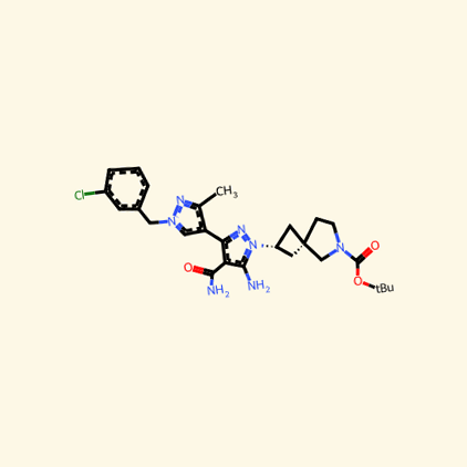 Cc1nn(Cc2cccc(Cl)c2)cc1-c1nn([C@H]2C[C@@]3(CCN(C(=O)OC(C)(C)C)C3)C2)c(N)c1C(N)=O